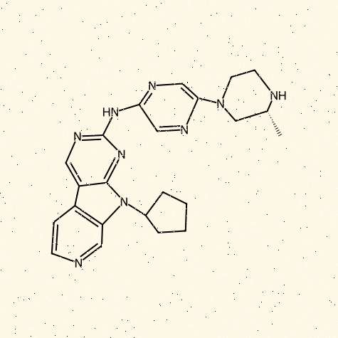 C[C@@H]1CN(c2cnc(Nc3ncc4c5ccncc5n(C5CCCC5)c4n3)cn2)CCN1